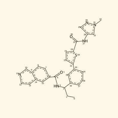 CCC(NC(=O)c1ccc2cnccc2c1)c1cccc(-c2ccc(C(=O)Nc3cnn(C)c3)s2)c1